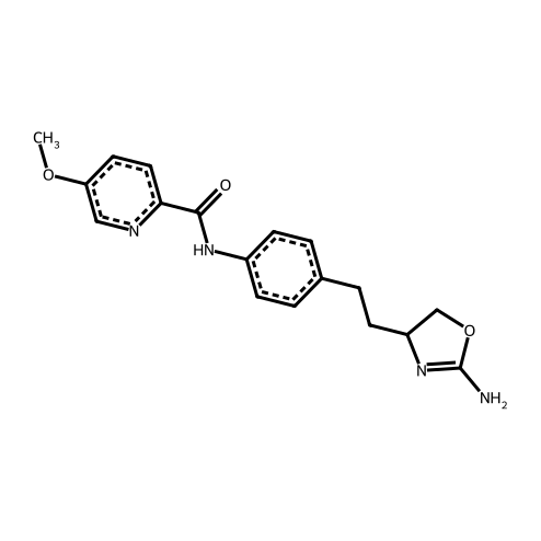 COc1ccc(C(=O)Nc2ccc(CCC3COC(N)=N3)cc2)nc1